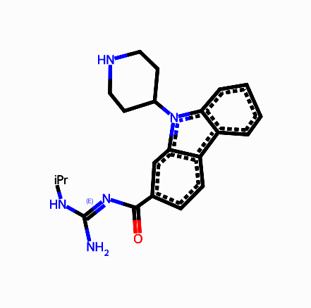 CC(C)N/C(N)=N/C(=O)c1ccc2c3ccccc3n(C3CCNCC3)c2c1